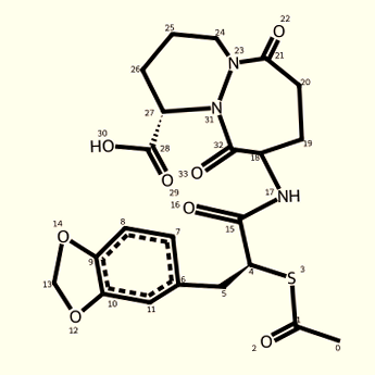 CC(=O)S[C@@H](Cc1ccc2c(c1)OCO2)C(=O)NC1CCC(=O)N2CCC[C@@H](C(=O)O)N2C1=O